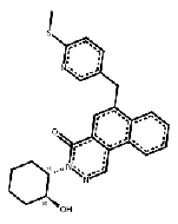 CSc1ccc(Cc2cc3c(=O)n([C@H]4CCCC[C@@H]4O)ncc3c3ccccc23)cn1